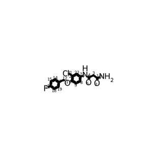 NC(=O)CC(=O)Nc1ccc(OCc2ccc(F)cc2)c(Cl)c1